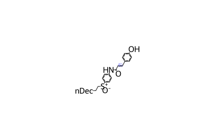 CCCCCCCCCCCC[S+]([O-])c1ccc(NC(=O)/C=C/c2ccc(O)cc2)cc1